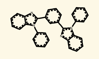 c1ccc(-n2c(-c3cccc(-c4nc5ccccc5n4-c4ccccc4)c3)nc3ccccc32)cc1